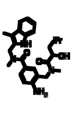 Cc1c(CN(C)C(=O)c2ccc(N)c(CN(C)C(=O)C(O)CC(C)C)c2)[nH]c2ccccc12